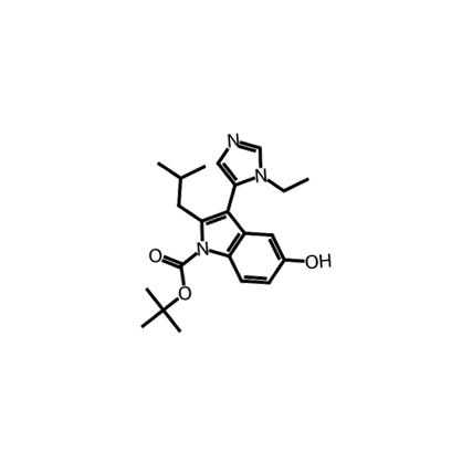 CCn1cncc1-c1c(CC(C)C)n(C(=O)OC(C)(C)C)c2ccc(O)cc12